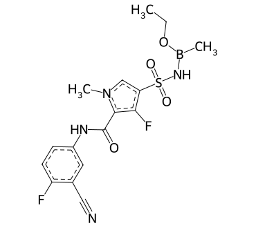 CCOB(C)NS(=O)(=O)c1cn(C)c(C(=O)Nc2ccc(F)c(C#N)c2)c1F